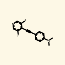 CN(C)c1ccc(C#Cc2c(F)cncc2F)cc1